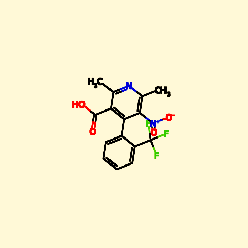 Cc1nc(C)c([N+](=O)[O-])c(-c2ccccc2C(F)(F)F)c1C(=O)O